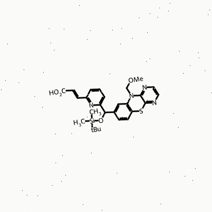 COCN1c2cc(C(O[Si](C)(C)C(C)(C)C)c3cccc(/C=C/C(=O)O)n3)ccc2Sc2nccnc21